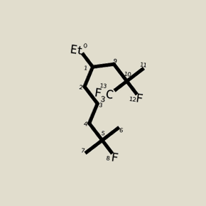 CCC(CCCC(C)(C)F)CC(C)(F)C(F)(F)F